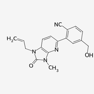 C=CCn1c(=O)n(C)c2nc(-c3cc(CO)ccc3C#N)ccc21